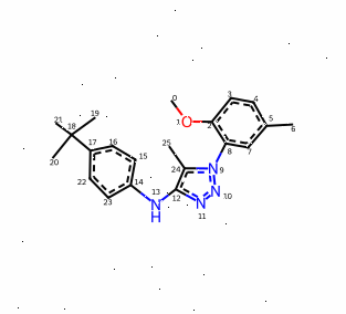 COc1ccc(C)cc1-n1nnc(Nc2ccc(C(C)(C)C)cc2)c1C